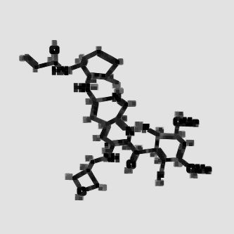 C=CC(=O)Nc1cccc(C)c1Nc1cc2cc(NCC3COC3)c(C(=O)c3c(F)c(OC)cc(OC)c3F)nc2cn1